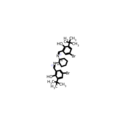 CC(C)(C)c1cc(Br)cc(/C=N\[C@@H]2CCCC[C@H]2/N=C\c2cc(Br)cc(C(C)(C)C)c2O)c1O